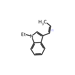 C/C=C\c1cn(CC)c2ccccc12